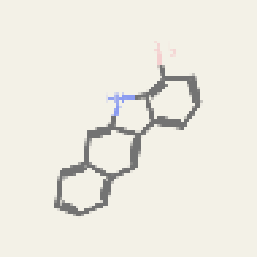 Bc1cccc2c1[nH]c1cc3ccccc3cc12